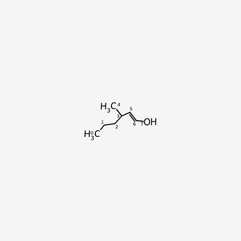 CCCC(C)/C=C/O